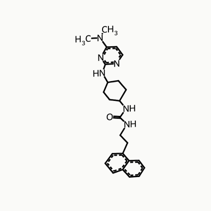 CN(C)c1ccnc(NC2CCC(NC(=O)NCCc3cccc4ccccc34)CC2)n1